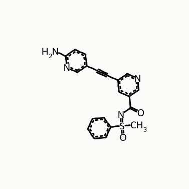 CS(=O)(=NC(=O)c1cncc(C#Cc2ccc(N)nc2)c1)c1ccccc1